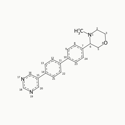 CN1CCOCC1c1ccc(-c2ccc(-c3cncnc3)cc2)cc1